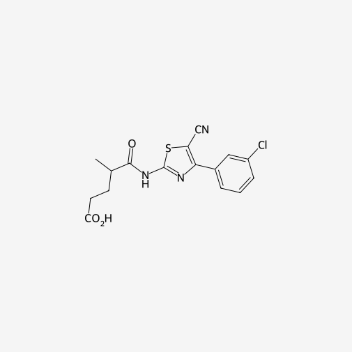 CC(CCC(=O)O)C(=O)Nc1nc(-c2cccc(Cl)c2)c(C#N)s1